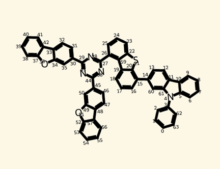 c1ccc(-n2c3ccccc3c3ccc(-c4cccc5c4sc4cccc(-c6nc(-c7ccc8c(c7)oc7ccccc78)nc(-c7ccc8c(c7)oc7ccccc78)n6)c45)cc32)cc1